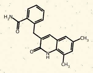 Cc1cc(C)c2[nH]c(=O)c(Cc3ccccc3C(N)=O)cc2c1